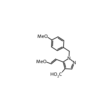 COC=Cc1c(C(=O)O)cnn1Cc1ccc(OC)cc1